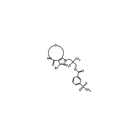 CCc1nn(CC(C)(C)COC(=O)c2cccc(S(C)(=O)=O)c2)c2c1C(=O)NCCCOCCC2